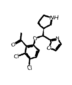 CC(=O)c1c(OC(c2ncco2)[C@H]2CCNC2)ccc(Cl)c1Cl